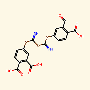 N=C(SC(=N)Sc1ccc(C(=O)O)c(C(=O)O)c1)Sc1ccc(C(=O)O)c(C=O)c1